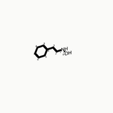 ONCCC1CCCCC1